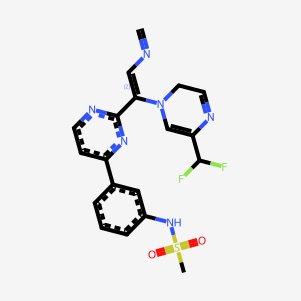 C=N/C=C(/c1nccc(-c2cccc(NS(C)(=O)=O)c2)n1)N1C=C(C(F)F)N=CC1